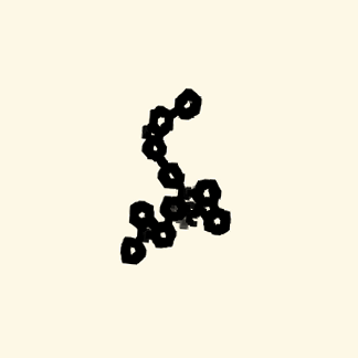 CC1(C)c2ccccc2-c2cccc(N(c3ccc(-c4ccc5sc6ccc(-c7ccccc7)cc6c5c4)cc3)c3ccc(-c4cccc5c4c4ccccc4n5-c4ccccc4)cc3)c21